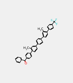 Cc1cc(-c2ccc(-c3ccc(-c4ccc(C(F)(F)F)cc4)c(C)c3)cc2)ccc1-c1ccc(C(=O)c2ccccc2)cc1